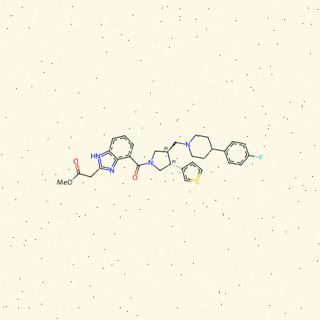 COC(=O)Cc1nc2c(C(=O)N3C[C@@H](CN4CCC(c5ccc(F)cc5)CC4)[C@H](c4ccsc4)C3)cccc2[nH]1